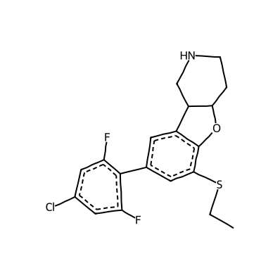 CCSc1cc(-c2c(F)cc(Cl)cc2F)cc2c1OC1CCNCC21